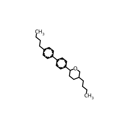 CCCCc1ccc(-c2ccc(C3CCC(CCCC)CO3)cc2)cc1